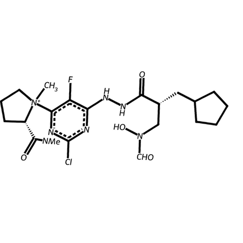 CNC(=O)[C@@H]1CCC[N+]1(C)c1nc(Cl)nc(NNC(=O)[C@H](CC2CCCC2)CN(O)C=O)c1F